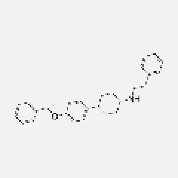 c1ccc(CCNC2CCC(c3ccc(OCc4ccccc4)cc3)CC2)cc1